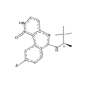 C[C@@H](Nc1nc2cc[nH]c(=O)c2c2cc(Br)ccc12)C(C)(C)C